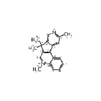 Cc1cc2c(cn1)C(C)(C)c1c[n+](C)c3ccccc3c1-2